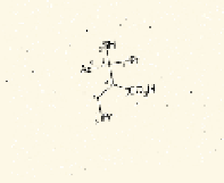 CC(=O)[C@](S)(C(C)C)C(CC(C)C)C(=O)O